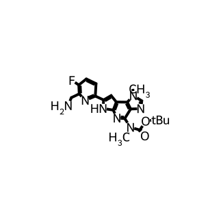 CN(C(=O)OC(C)(C)C)c1nc2[nH]c(-c3ccc(F)c(CN)n3)cc2c2c1ncn2C